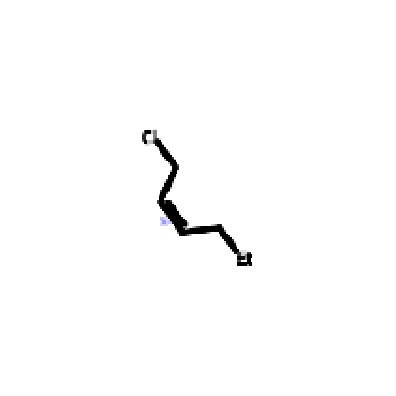 CCC/C=C\CCl